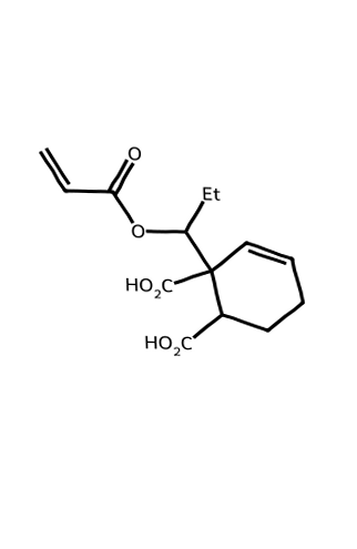 C=CC(=O)OC(CC)C1(C(=O)O)C=CCCC1C(=O)O